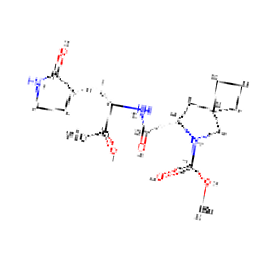 COC(=O)[C@H](C[C@@H]1CCNC1=O)NC(=O)[C@@H]1CC2(CCC2)CN1C(=O)OC(C)(C)C